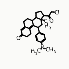 CN(C)c1ccc(C2CC3(C)C(C(=O)CCl)CCC3C3CCC4=CC(=O)CCC4=C23)cc1